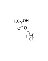 C=C(O)C(=O)OCCC(F)(F)C(F)(F)F